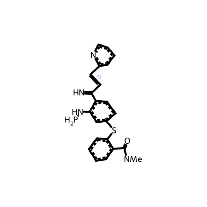 CNC(=O)c1ccccc1Sc1ccc(C(=N)/C=C/c2ccccn2)c(NP)c1